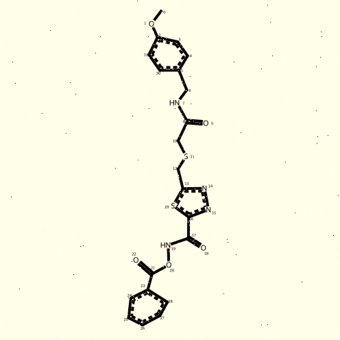 COc1ccc(CNC(=O)CSCc2nnc(C(=O)NOC(=O)c3ccccc3)s2)cc1